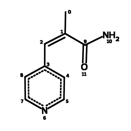 CC(=Cc1ccncc1)C(N)=O